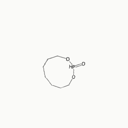 O=[PH]1OCCCCCCCO1